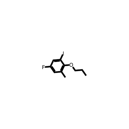 CCCOc1c(C)cc(F)cc1I